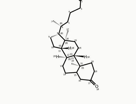 C=C(C)CCC[C@@H](C)[C@H]1CC[C@H]2[C@@H]3CCC4CC(=O)CC[C@]4(C)[C@H]3CC[C@]12C